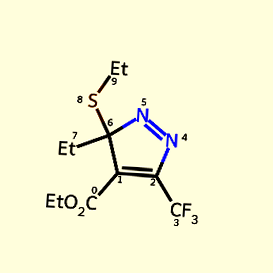 CCOC(=O)C1=C(C(F)(F)F)N=NC1(CC)SCC